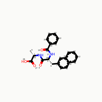 C[C@H](NC(=O)[C@@H](Cc1ccc2ccccc2c1)NC(=O)c1ccccc1)C(=O)O